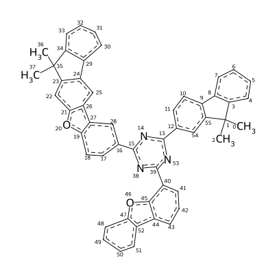 CC1(C)c2ccccc2-c2ccc(-c3nc(-c4ccc5oc6cc7c(cc6c5c4)-c4ccccc4C7(C)C)nc(-c4cccc5c4oc4ccccc45)n3)cc21